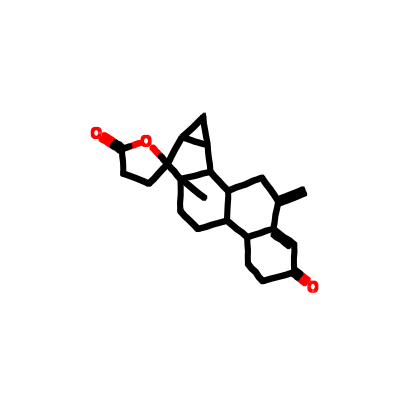 C=C1CC2C(CCC3(C)C2C2CC2C32CCC(=O)O2)C2CCC(=O)C=C12